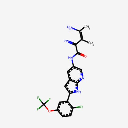 C/C(N)=C(\C)C(=N)C(=O)Nc1cnc2[nH]c(-c3cc(OC(F)(F)F)ccc3Cl)cc2c1